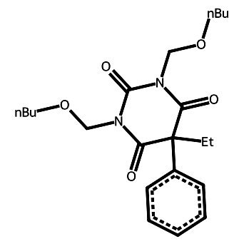 CCCCOCN1C(=O)N(COCCCC)C(=O)C(CC)(c2ccccc2)C1=O